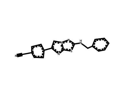 N#Cc1ccc(-c2cn3nc(NCc4ccccc4)sc3n2)cc1